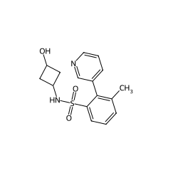 Cc1cccc(S(=O)(=O)NC2CC(O)C2)c1-c1cccnc1